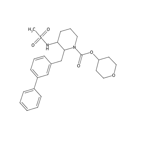 CS(=O)(=O)NC1CCCN(C(=O)OC2CCOCC2)C1Cc1cccc(-c2ccccc2)c1